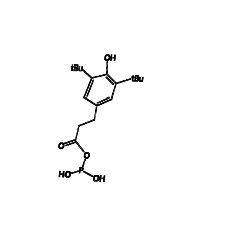 CC(C)(C)c1cc(CCC(=O)OP(O)O)cc(C(C)(C)C)c1O